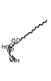 CCCCCCCCCCCCCCCCOCC(COP(=O)(O)OCCN1CCNCC1)OC